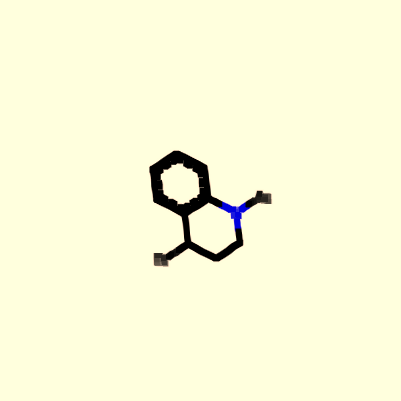 CCC1CCN(C(C)=O)c2ccccc21